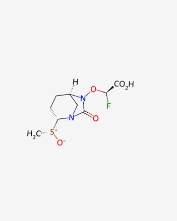 C[S@@+]([O-])[C@@H]1CC[C@@H]2CN1C(=O)N2O[C@H](F)C(=O)O